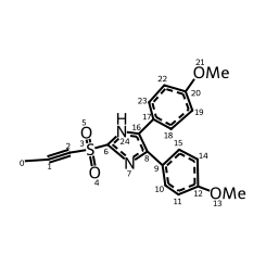 CC#CS(=O)(=O)c1nc(-c2ccc(OC)cc2)c(-c2ccc(OC)cc2)[nH]1